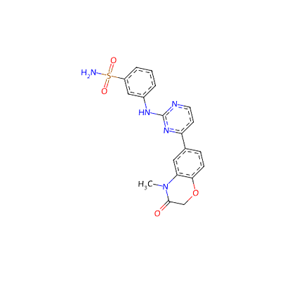 CN1C(=O)COc2ccc(-c3ccnc(Nc4cccc(S(N)(=O)=O)c4)n3)cc21